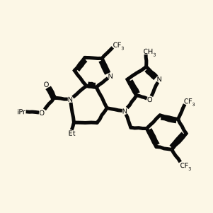 CCC1CC(N(Cc2cc(C(F)(F)F)cc(C(F)(F)F)c2)c2cc(C)no2)c2nc(C(F)(F)F)ccc2N1C(=O)OC(C)C